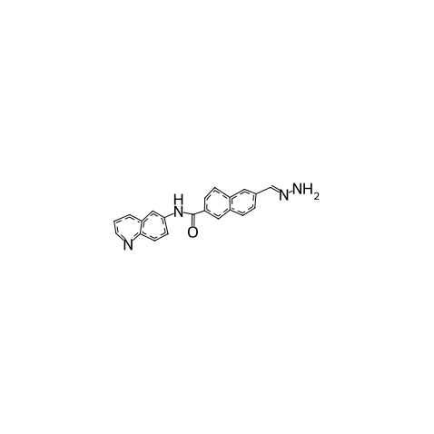 NN=Cc1ccc2cc(C(=O)Nc3ccc4ncccc4c3)ccc2c1